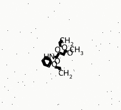 C=CCOc1ccccc1NC(=O)C(CC(=O)OC)OCC=C